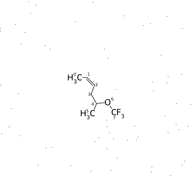 C/C=C\CC(C)OC(F)(F)F